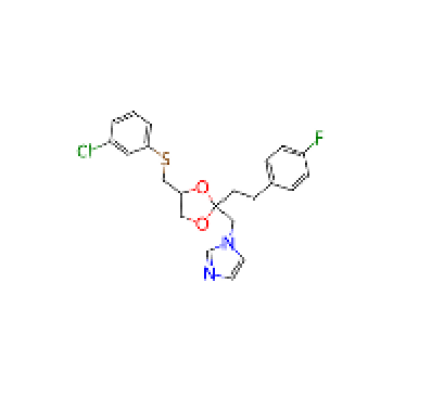 Fc1ccc(CCC2(Cn3ccnc3)OCC(CSc3cccc(Cl)c3)O2)cc1